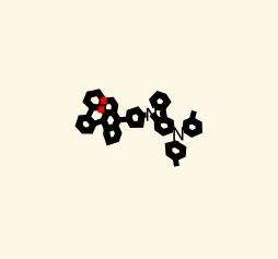 Cc1ccc(N(c2cccc(C)c2)c2ccc3c(c2)c2ccccc2n3-c2ccc(-c3c4ccccc4c(-c4ccccc4-c4ccccc4)c4ccccc34)cc2)cc1